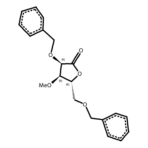 CO[C@@H]1[C@@H](COCc2ccccc2)OC(=O)[C@@H]1OCc1ccccc1